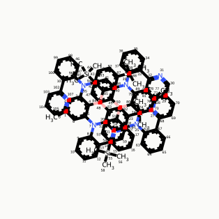 Cc1cc2c3c(c1)N(c1ccccc1-c1ccccn1)c1ccc([Si](C)(C)Cc4ccnc(-c5ccccc5N5c6cc([Si](C)(C)C)ccc6B6c7ccc([Si](C)(C)C)cc7N(c7ccccc7-c7ccccn7)c7cc(C)cc5c76)c4)cc1B3c1cc([Si](C)(C)C)ccc1N2c1ccccc1-c1ccccn1